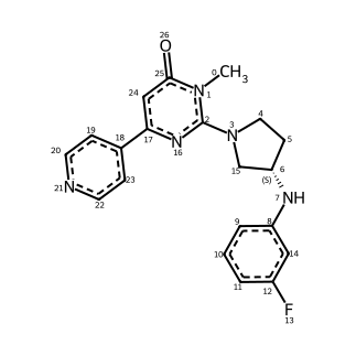 Cn1c(N2CC[C@H](Nc3cccc(F)c3)C2)nc(-c2ccncc2)cc1=O